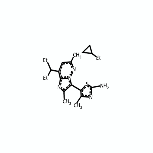 CCC(CC)c1cc(C)nn2c(-c3sc(N)nc3C)c(C)nc12.CCC1CC1